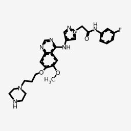 COc1cc2c(Nc3cnn(CC(=O)Nc4cccc(F)c4)c3)ncnc2cc1OCCCN1CCNCC1